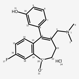 CN(C)CC1=C(c2cccc(O)c2)c2ccc(F)cc2[S+]([O-])CC1.Cl